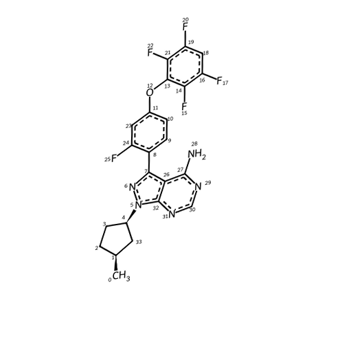 C[C@H]1CC[C@@H](n2nc(-c3ccc(Oc4c(F)c(F)cc(F)c4F)cc3F)c3c(N)ncnc32)C1